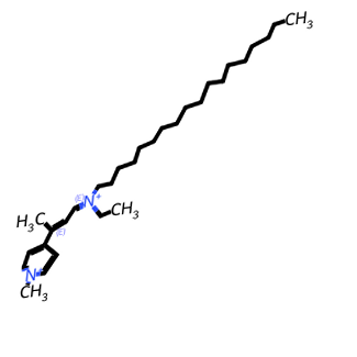 CCCCCCCCCCCCCCCCCC/[N+](=C/C=C(\C)c1cc[n+](C)cc1)CC